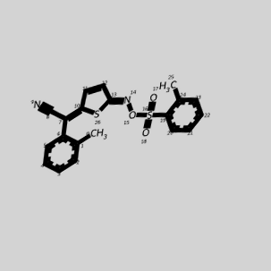 Cc1ccccc1C(C#N)=C1C=CC(=NOS(=O)(=O)c2ccccc2C)S1